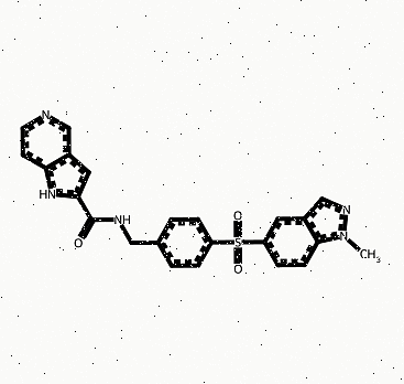 Cn1ncc2cc(S(=O)(=O)c3ccc(CNC(=O)c4cc5cnccc5[nH]4)cc3)ccc21